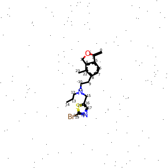 C=C1OCc2c1ccc(CCN(CCC)Cc1cnc(Br)s1)c2C